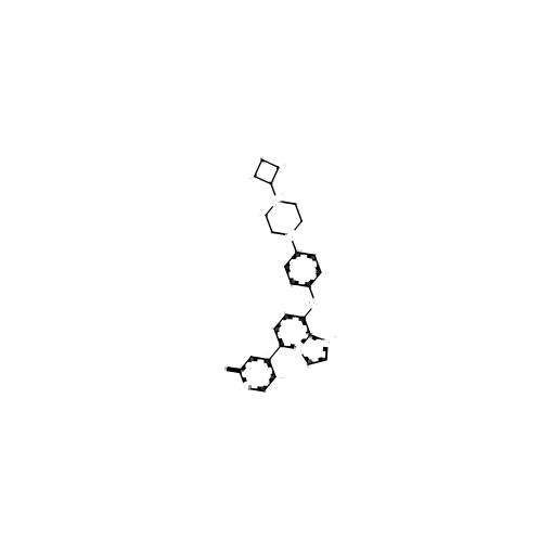 O=c1cc(-c2ccc(Nc3ccc(N4CCN(C5CCC5)CC4)cc3)c3nccn23)cc[nH]1